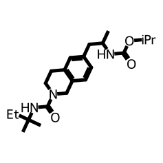 CCC(C)(C)NC(=O)N1CCc2cc(CC(C)NC(=O)OC(C)C)ccc2C1